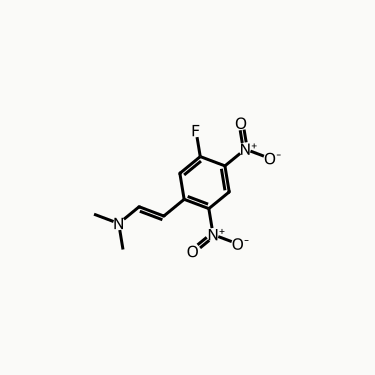 CN(C)C=Cc1cc(F)c([N+](=O)[O-])cc1[N+](=O)[O-]